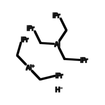 CC(C)[CH2][Al+][CH2]C(C)C.CC(C)[CH2][Al]([CH2]C(C)C)[CH2]C(C)C.[H-]